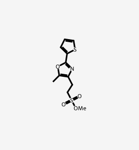 COS(=O)(=O)CCc1nc(-c2cccs2)oc1C